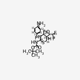 CC(C)(C)OC(=O)NC1=N[C@@]2(c3cc(N)ccc3F)CO[C@H](C(F)F)[C@H]2CS1